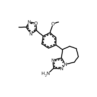 COc1cc(C2CCCCn3nc(N)nc32)ccc1-c1nc(C)no1